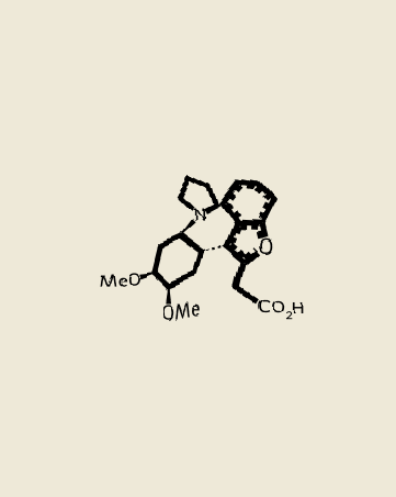 CO[C@H]1C[C@@H](N2CCCC2)[C@H](c2c(CC(=O)O)oc3ccccc23)C[C@H]1OC